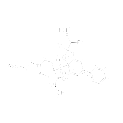 COCCN1CCC(C(=O)NO)(S(=O)(=O)C2(OC(F)(F)C(F)F)C=CC(c3ccccc3)C=C2)CC1.Cl